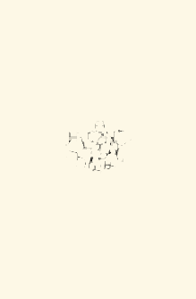 COc1ccccc1C(c1cccc2ccccc12)C(C)(C#N)C(=O)N1CCCCC1